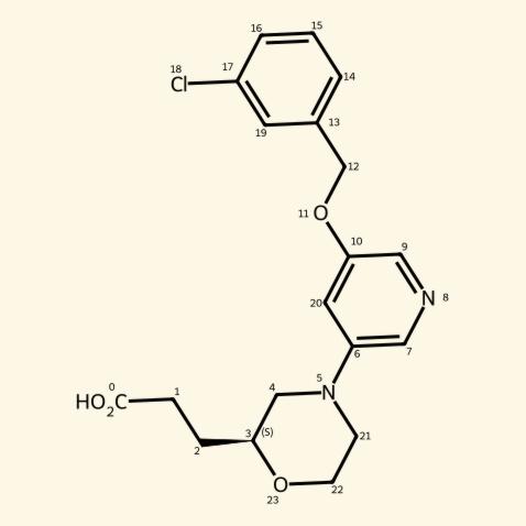 O=C(O)CC[C@H]1CN(c2cncc(OCc3cccc(Cl)c3)c2)CCO1